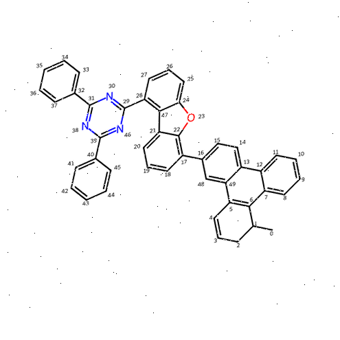 CC1CC=Cc2c1c1ccccc1c1ccc(-c3cccc4c3oc3cccc(-c5nc(-c6ccccc6)nc(-c6ccccc6)n5)c34)cc21